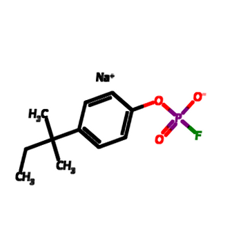 CCC(C)(C)c1ccc(OP(=O)([O-])F)cc1.[Na+]